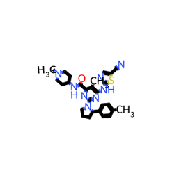 Cc1ccc(C2CCCN2c2nc(Nc3ncc(C#N)s3)c(C)c(C(=O)NC3CCN(C)CC3)n2)cc1